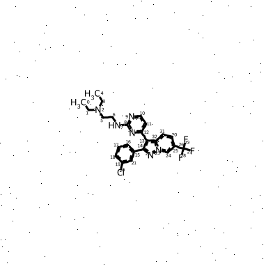 CCN(CC)CCNc1nccc(-c2c(-c3cccc(Cl)c3)nn3cc(C(F)(F)F)ccc23)n1